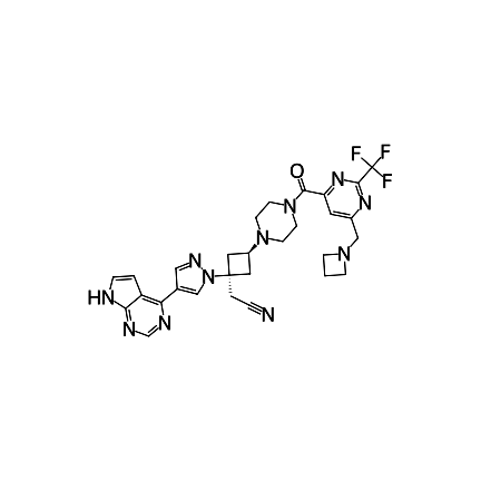 N#CC[C@]1(n2cc(-c3ncnc4[nH]ccc34)cn2)C[C@@H](N2CCN(C(=O)c3cc(CN4CCC4)nc(C(F)(F)F)n3)CC2)C1